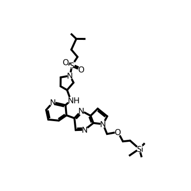 CC(C)CCS(=O)(=O)N1CCC(Nc2ncccc2-c2cnc3c(ccn3COCC[Si](C)(C)C)n2)C1